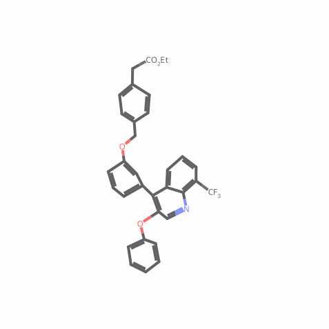 CCOC(=O)Cc1ccc(COc2cccc(-c3c(Oc4ccccc4)cnc4c(C(F)(F)F)cccc34)c2)cc1